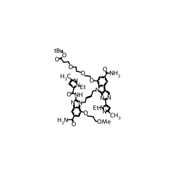 CCn1nc(C)cc1C(=O)Nc1nc2cc(C(N)=O)cc(OCCCOC)c2n1CC=CCn1c2nc(-c3cc(C)nn3CC)ncc2c2cc(C(N)=O)cc(OCCOCCOCCC(=O)OC(C)(C)C)c21